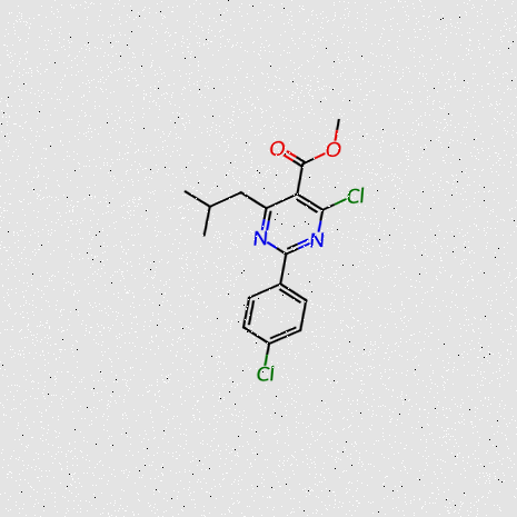 COC(=O)c1c(Cl)nc(-c2ccc(Cl)cc2)nc1CC(C)C